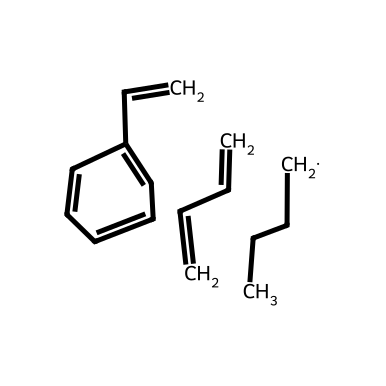 C=CC=C.C=Cc1ccccc1.[CH2]CCC